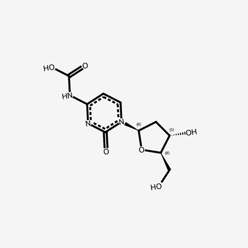 O=C(O)Nc1ccn([C@H]2C[C@H](O)[C@@H](CO)O2)c(=O)n1